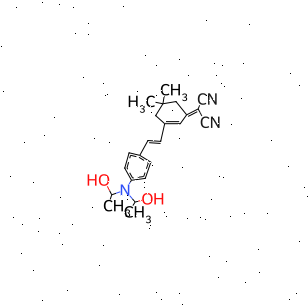 CC(O)N(c1ccc(C=CC2=CC(=C(C#N)C#N)CC(C)(C)C2)cc1)C(C)O